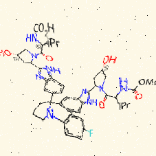 COC(=O)NC(C(=O)N1C[C@@H](O)CC1c1nc2cc(C3(c4ccc5[nH]c(C6C[C@H](O)CN6C(=O)[C@@H](NC(=O)O)C(C)C)nc5c4)CCCN3c3ccc(F)cc3)ccc2[nH]1)C(C)C